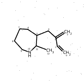 C=CC(=C)CC1CCCCNC1C